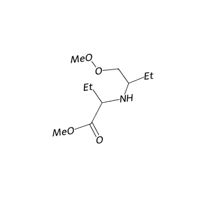 CCC(COOC)NC(CC)C(=O)OC